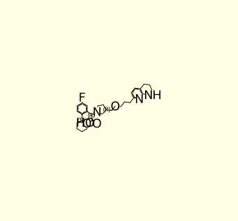 O=C(O)[C@@H](c1cc(F)ccc1[C@@H]1CCCCO1)N1CC[C@@H](COCCCc2ccc3c(n2)NCCC3)C1